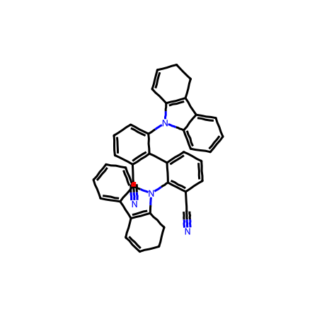 N#Cc1cccc(-n2c3c(c4ccccc42)CCC=C3)c1-c1cccc(C#N)c1-n1c2c(c3ccccc31)C=CCC2